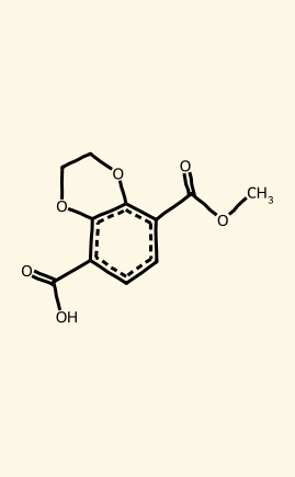 COC(=O)c1ccc(C(=O)O)c2c1OCCO2